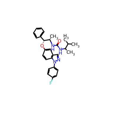 CC(C)C(C)NC(=O)N[C@@H](C)[C@H](Oc1ccc2c(cnn2-c2ccc(F)cc2)c1)c1ccccc1